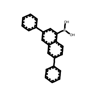 OB(O)c1cc(-c2ccccc2)cc2cc(-c3ccccc3)ccc12